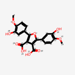 COc1ccc(-c2oc(-c3ccc(OC)c(O)c3)c(C(=O)O)c2C(=O)O)cc1O